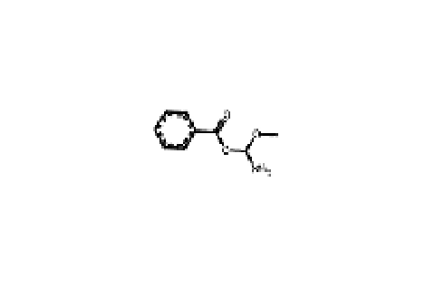 COC(N)OC(=O)c1ccccc1